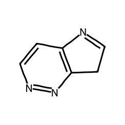 C1=Nc2ccnnc2C1